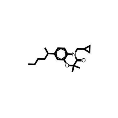 CCCCC(C)c1ccc2c(c1)OC(C)(C)C(=O)N2CC1CC1